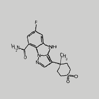 CC1(c2cnn3c2[nH]c2cc(F)cc(C(N)=O)c23)CCS(=O)(=O)CC1